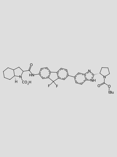 CC(C)(C)OC(=O)N1CCC[C@H]1c1nc2cc(-c3ccc4c(c3)C(F)(F)c3cc(NC(=O)C5CC6CCCC[C@@H]6N5C(=O)O)ccc3-4)ccc2[nH]1